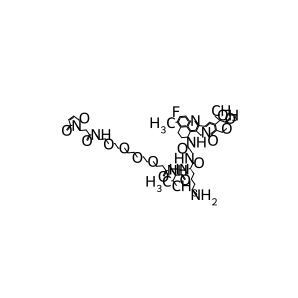 CC[C@@]1(O)C(=O)OCc2c1cc1n(c2=O)Cc2c-1nc1cc(F)c(C)c3c1c2[C@@H](NC(=O)CNC(=O)[C@@H](CCCCN)NC(=O)[C@H](NC(=O)CCOCCOCCOCCOCCNC(=O)CCN1C(=O)C=CC1=O)C(C)C)CC3